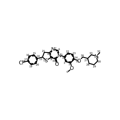 COc1cc(-n2cnc3c(c2=O)SC(c2ccc(Cl)cc2)C3)ccc1OCC1CCCN(C)C1